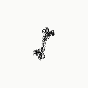 COC(=O)C(CC(=O)OCCCCCCOC(=O)CC(NCC(C)(C)C)C(=O)OC)NCC(C)(C)C